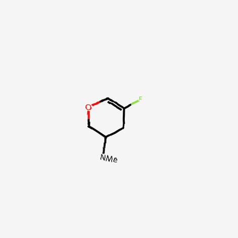 CNC1COC=C(F)C1